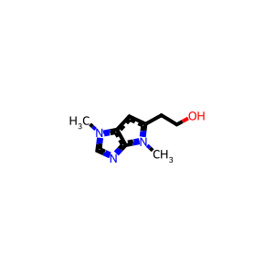 Cn1cnc2c1cc(CCO)n2C